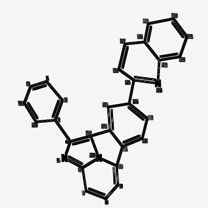 c1ccc(-c2nc3cccc4c5ccc(-c6ccc7ccccc7n6)cc5c2n34)cc1